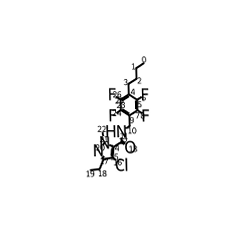 CCCCc1c(F)c(F)c(CNC(=O)c2c(Cl)c(CC)nn2C)c(F)c1F